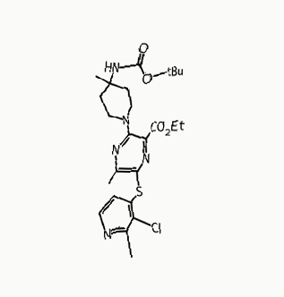 CCOC(=O)c1nc(Sc2ccnc(C)c2Cl)c(C)nc1N1CCC(C)(NC(=O)OC(C)(C)C)CC1